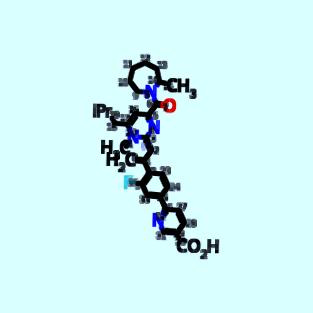 C=C(/C=C1/N=C(C(=O)N2CCCCCC2C)C=C(CC(C)C)N1C)c1ccc(-c2ccc(C(=O)O)cn2)cc1F